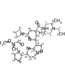 CCN(CC)C(C)CNC(=O)c1cc(-c2cnn3ccc(-c4cccs4)nc23)nc(N2CC[C@H]2C(=O)N(C)OC)c1